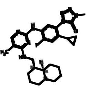 Cn1nnn(-c2cc(Nc3ncc(C(F)(F)F)c(NC[C@@H]4CCCN5CCCC[C@H]45)n3)c(F)cc2C2CC2)c1=O